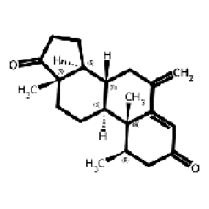 C=C1C[C@@H]2[C@H](CC[C@]3(C)C(=O)CC[C@@H]23)[C@]2(C)C1=CC(=O)C[C@H]2C